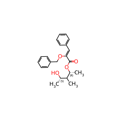 CC([C@H](C)O)[C@@H](C)OC(=O)C(=Cc1ccccc1)OCc1ccccc1